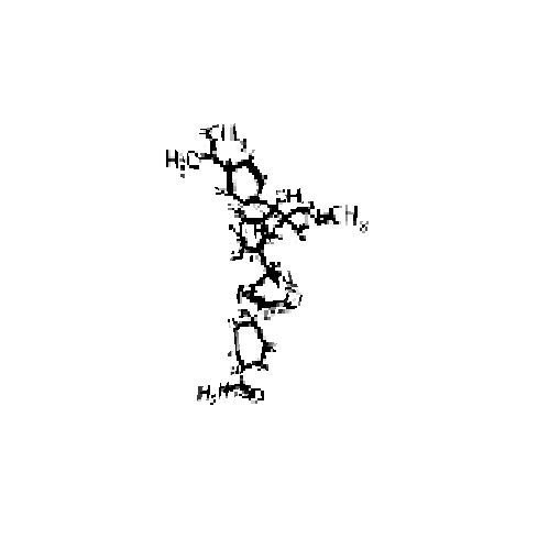 CC(C)c1ccc(C(O)(c2cncc(-c3noc([C@H]4CC[C@@H](C(N)=O)CC4)n3)c2)C2(C)CN(C)C2)cc1